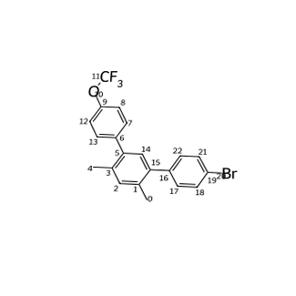 Cc1cc(C)c(-c2ccc(OC(F)(F)F)cc2)cc1-c1ccc(Br)cc1